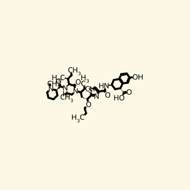 CCCO[C@H](CC(C(C)C)N(CCC)C(=O)[C@@H](NC(=O)[C@H]1CCCCN1C)[C@@H](C)CC)c1nc(C(=O)N[C@H]2Cc3ccc(O)cc3[C@H](C(=O)O)C2)cs1